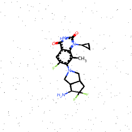 Cc1c(N2CC3CC(F)(F)C(N)C3C2)c(F)cc2c(=O)[nH]c(=O)n(C3CC3)c12